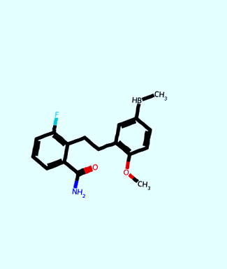 CBc1ccc(OC)c(CCc2c(F)cccc2C(N)=O)c1